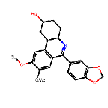 CCOc1cc2c(cc1OC)C(c1ccc3c(c1)OCO3)=NC1CCC(O)CC21